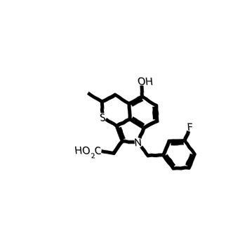 CC1Cc2c(O)ccc3c2c(c(CC(=O)O)n3Cc2cccc(F)c2)S1